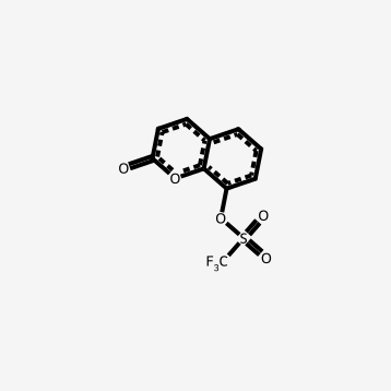 O=c1ccc2cccc(OS(=O)(=O)C(F)(F)F)c2o1